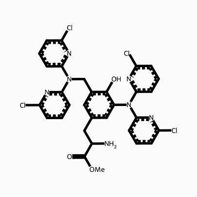 COC(=O)C(N)Cc1cc(CN(c2cccc(Cl)n2)c2cccc(Cl)n2)c(O)c(N(c2cccc(Cl)n2)c2cccc(Cl)n2)c1